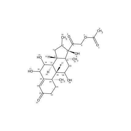 CC(=O)OCC(=O)[C@@]1(O)C(C)C[C@H]2[C@@H]3C(O)C(O)C4=CC(=O)CC[C@]4(C)[C@@]3(F)C(O)C[C@@]21C